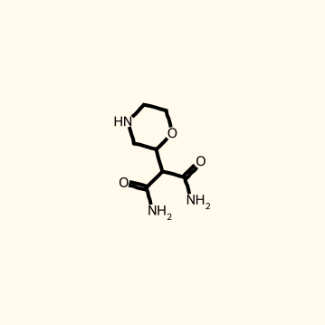 NC(=O)C(C(N)=O)C1CNCCO1